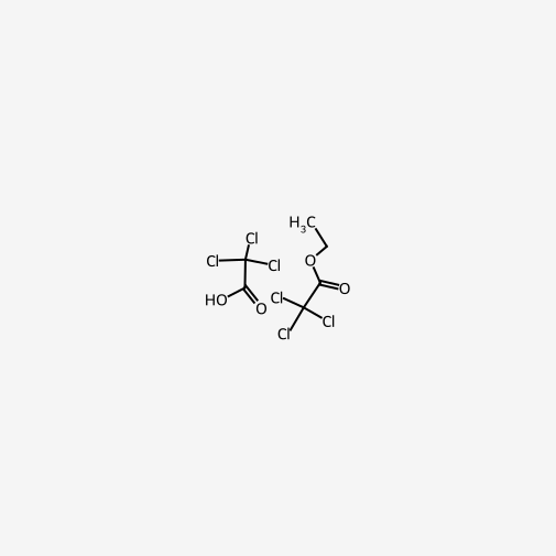 CCOC(=O)C(Cl)(Cl)Cl.O=C(O)C(Cl)(Cl)Cl